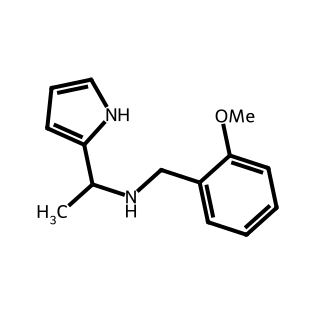 COc1ccccc1CNC(C)c1ccc[nH]1